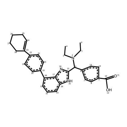 CCN(CC)C(c1ccc(C(=O)O)cc1)c1nc2c(-c3ccc(C4=CCCCC4)cc3)cccc2[nH]1